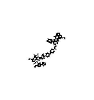 CCc1cccc2cc(O)cc(-c3ncc4c(N5CC6CCC(C5)N6)nc(OCCN5CCC(F)(CN6CCN(c7cnc(C(=O)NC(C(=O)N8C[C@H](O)C[C@H]8C(=O)NC(C)c8ccc(-c9scnc9C)cc8)C(C)(C)C)cn7)CC6)CC5)nc4c3F)c12